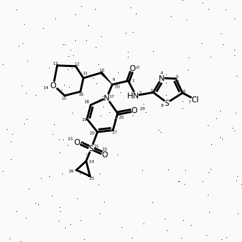 O=C(Nc1ncc(Cl)s1)[C@H](CC1CCOCC1)n1ccc(S(=O)(=O)C2CC2)cc1=O